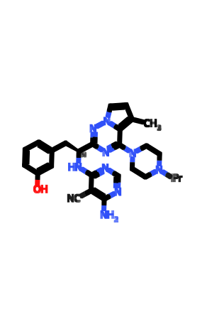 Cc1ccn2nc([C@H](Cc3cccc(O)c3)Nc3ncnc(N)c3C#N)nc(N3CCN(C(C)C)CC3)c12